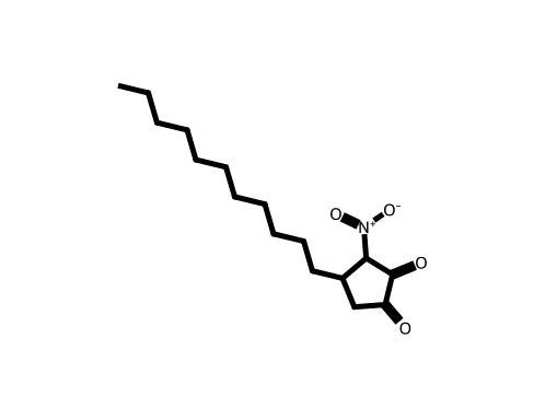 CCCCCCCCCCCC1CC(=O)C(=O)C1[N+](=O)[O-]